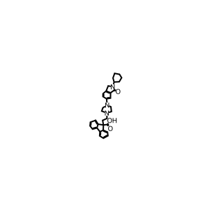 O=C1c2cc(N3CCN(CCC4(C(=O)O)c5ccccc5-c5ccccc54)CC3)ccc2CN1C1CCCCC1